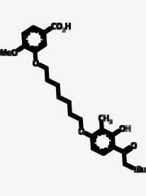 COc1ccc(C(=O)O)cc1OCCCCCCCOc1ccc(C(=O)CC(C)(C)C)c(O)c1C